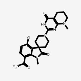 CN1CCCc2c1nc(N1CCC3(CC1)C(=O)N(C)c1c(C(N)=O)ccc(Cl)c13)[nH]c2=O